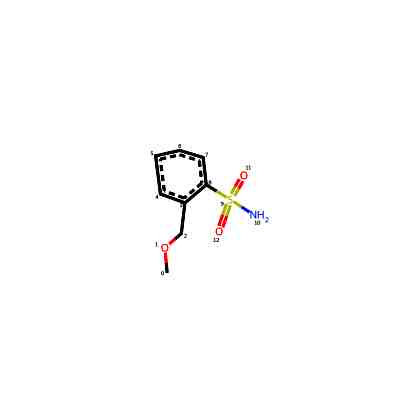 COCc1ccccc1S(N)(=O)=O